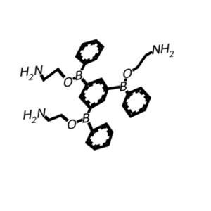 NCCOB(c1ccccc1)c1cc(B(OCCN)c2ccccc2)cc(B(OCCN)c2ccccc2)c1